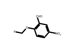 O=Cc1cc([N+](=O)[O-])ccc1OCF